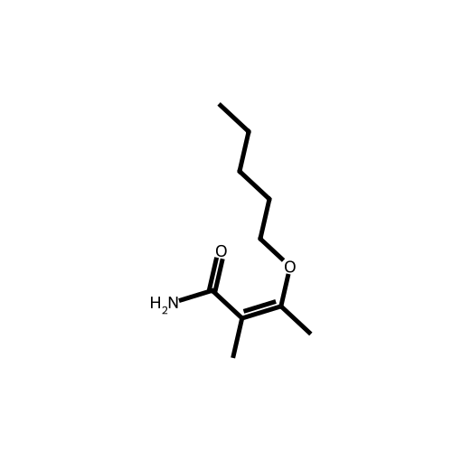 CCCCCOC(C)=C(C)C(N)=O